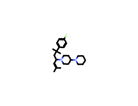 CC(C)=CC(CC(C)(C)c1ccc(F)cc1)N1CCC(N2CCCCC2)CC1